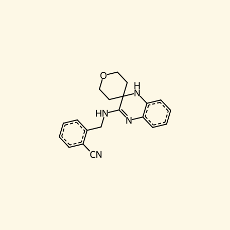 N#Cc1ccccc1CNC1=Nc2ccccc2NC12CCOCC2